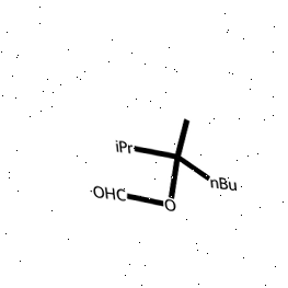 CCCCC(C)(O[C]=O)C(C)C